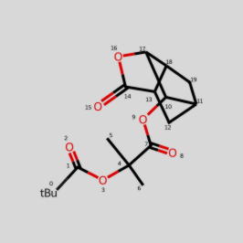 CC(C)(C)C(=O)OC(C)(C)C(=O)OC1C2CC3C(=O)OC1C3C2